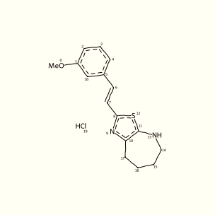 COc1cccc(C=Cc2nc3c(s2)NCCCC3)c1.Cl